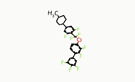 CC1CCC(c2cc(F)c(C(F)(F)Oc3ccc(-c4cc(F)c(F)c(F)c4)c(F)c3F)c(F)c2)CC1